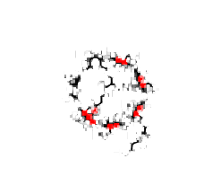 CN[C@H](CSCC1O[C@H]2O[C@@H](C)C(CO)O[C@@H](C(O)O)O[C@@H]3C(CO)O[C@H](O[C@@H]4C(CO)O[C@H](O[C@@H]5C(CSC[C@@H](NC(=O)CCO)C(C)=O)O[C@H](O[C@@H]6C(CO)O[C@@H](O[C@@H]7C(CO)O[C@@H](O[C@H]1C(O)[C@@H]2O)[C@@H](O)C7O)[C@@H](O)C6O)C(O)[C@H]5O)C(O)[C@H]4O)[C@@H](O)C3O)C(=O)NCCC(=O)OCC(C)=O